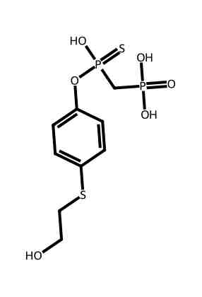 O=P(O)(O)CP(O)(=S)Oc1ccc(SCCO)cc1